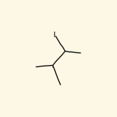 C[C](C)C(C)I